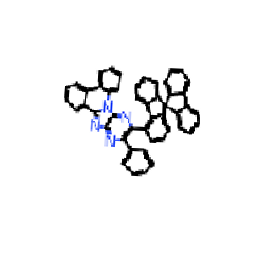 c1ccc(-c2nc3nc4c5ccccc5c5ccccc5n4c3nc2-c2cccc3c2-c2ccccc2C32c3ccccc3-c3ccccc32)cc1